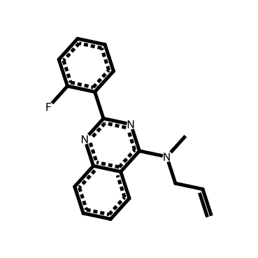 C=CCN(C)c1nc(-c2ccccc2F)nc2ccccc12